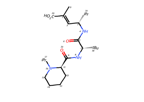 C/C(=C\[C@@H](NC(=O)[C@@H](NC(=O)[C@H]1CCCCN1C(C)C)C(C)(C)C)C(C)C)C(=O)O